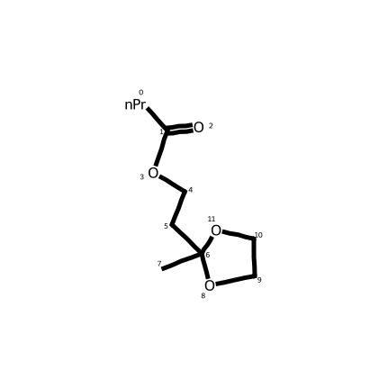 CCCC(=O)OCCC1(C)OCCO1